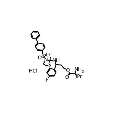 CC(C)C(N)C(=O)OCCC(NC1(C)SCCN1S(=O)(=O)c1ccc(-c2ccccc2)cc1)c1ccc(F)cc1.Cl